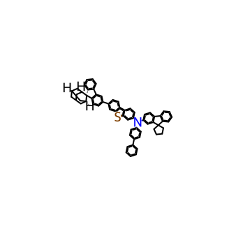 c1ccc(-c2ccc(N(c3ccc4c(c3)C3(CCCC3)c3ccccc3-4)c3ccc4c(c3)sc3cc(-c5ccc6c(c5)-c5ccccc5[C@]65[C@@H]6CC7C[C@@H](C6)C[C@@H]5C7)ccc34)cc2)cc1